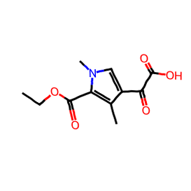 CCOC(=O)c1c(C)c(C(=O)C(=O)O)cn1C